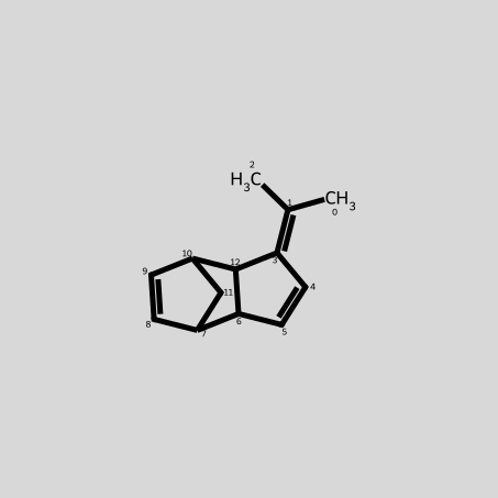 CC(C)=C1C=CC2C3C=CC(C3)C12